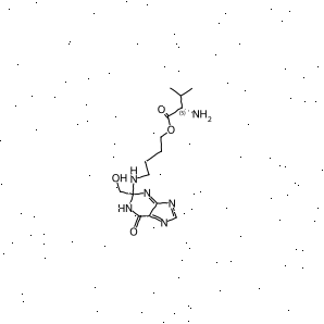 CC(C)[C@H](N)C(=O)OCCCCNC1(CO)N=C2N=CN=C2C(=O)N1